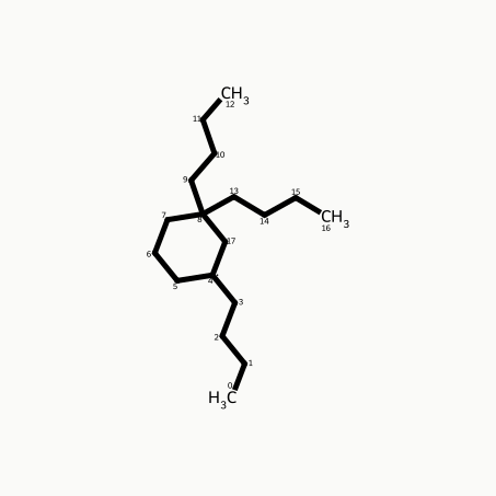 CCCC[C]1CCCC(CCCC)(CCCC)C1